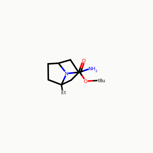 CCC12CCC(CC(N)C1)N2C(=O)OC(C)(C)C